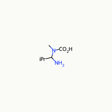 CC(C)C(N)N(C)C(=O)O